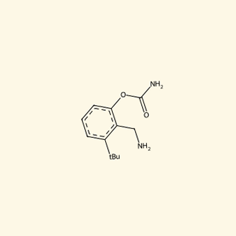 CC(C)(C)c1cccc(OC(N)=O)c1CN